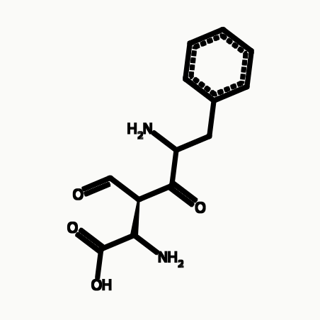 NC(Cc1ccccc1)C(=O)[C@H](C=O)C(N)C(=O)O